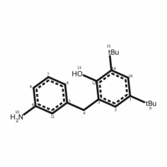 CC(C)(C)c1cc(Cc2cccc(N)c2)c(O)c(C(C)(C)C)c1